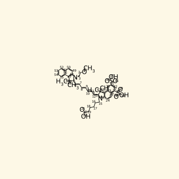 COCC[N+]1=C(/C=C/C=C/C=C/C=C2/N(CCCCCC(=O)O)c3ccc4c(S(=O)(=O)O)cc(S(=O)(=O)O)cc4c3C2(C)C)C(C)(C)c2c1ccc1ccccc21